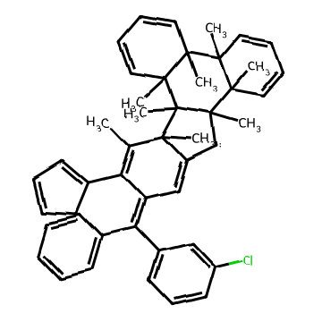 CC1=C(C2=CC=CC2)C(=C(c2ccccc2)c2cccc(Cl)c2)C=C2[C]C3(C)C4(C)C=CC=CC4(C)C4(C)C=CC=CC4(C)C3(C)C21C